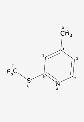 Cc1ccnc(SC(F)(F)F)c1